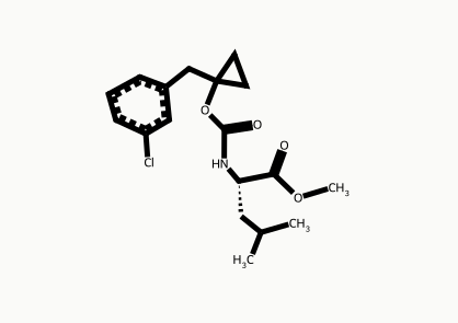 COC(=O)[C@H](CC(C)C)NC(=O)OC1(Cc2cccc(Cl)c2)CC1